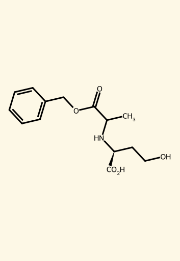 CC(N[C@@H](CCO)C(=O)O)C(=O)OCc1ccccc1